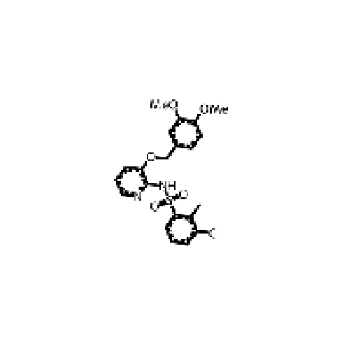 COc1ccc(COc2cccnc2NS(=O)(=O)c2cccc(Cl)c2C)cc1OC